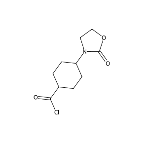 O=C(Cl)C1CCC(N2CCOC2=O)CC1